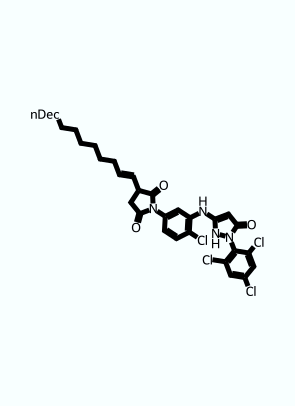 CCCCCCCCCCCCCCCC/C=C/C1CC(=O)N(c2ccc(Cl)c(Nc3cc(=O)n(-c4c(Cl)cc(Cl)cc4Cl)[nH]3)c2)C1=O